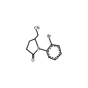 N#CCC1CCC(=O)N1c1ccccc1Br